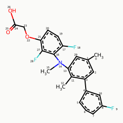 Cc1cc(-c2cccc(F)c2)c(C)c(N(C)c2c(F)ccc(OCC(=O)O)c2F)c1